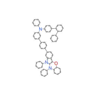 c1ccc(-c2ccccc2-c2ccc(N(c3ccccc3)c3cccc(-c4ccc(-c5ccc6c7c(n(-c8ccccc8)c6c5)N(c5ccccc5)c5ccccc5O7)cc4)c3)cc2)cc1